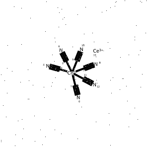 N#[C][Co-3]([C]#N)([C]#N)([C]#N)([C]#N)[C]#N.[Ce+3]